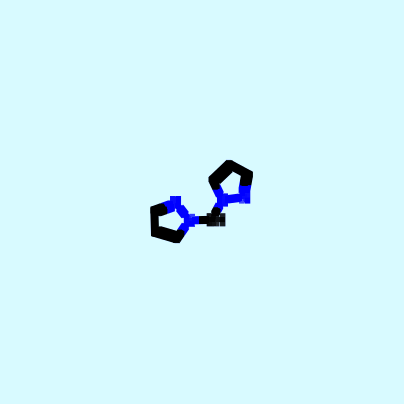 B(n1cccn1)n1cccn1